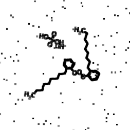 CCCCCCCCCc1ccccc1OOOc1ccccc1CCCCCCCCC.O=S(=O)(O)O.[LiH]